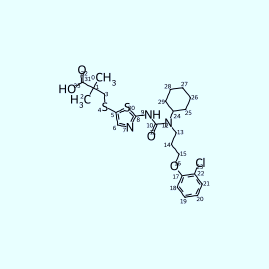 CC(C)(CSc1cnc(NC(=O)N(CCCOc2ccccc2Cl)C2CCCCC2)s1)C(=O)O